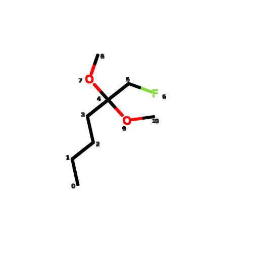 CCCCC(CF)(OC)OC